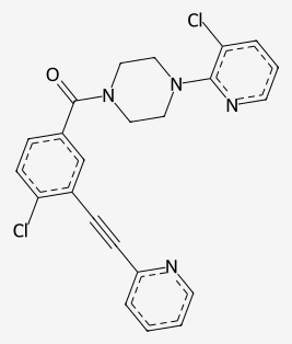 O=C(c1ccc(Cl)c(C#Cc2ccccn2)c1)N1CCN(c2ncccc2Cl)CC1